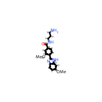 COc1ccc2nc(-c3ccc(C(=O)NCCCN)cc3OC)[nH]c2c1